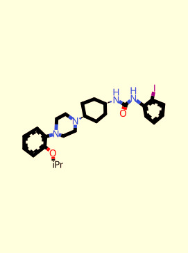 CC(C)Oc1ccccc1N1CCN([C@H]2CC[C@@H](NC(=O)Nc3ccccc3I)CC2)CC1